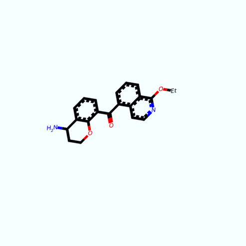 CCOc1nccc2c(C(=O)c3cccc4c3OCCC4N)cccc12